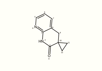 O=C1Nc2ncccc2CC12CC2